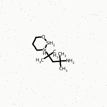 CC(C)(N)CC(C)(C)[SiH]1CCCO[SiH2]1